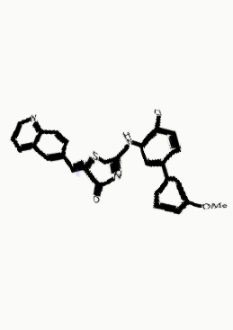 COc1cccc(-c2ccc(Cl)c(NC3=NC(=O)/C(=C/c4ccc5ncccc5c4)S3)c2)c1